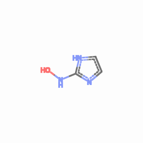 ONc1ncc[nH]1